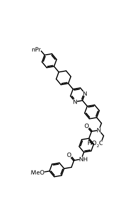 CCCc1ccc(C2CC=C(c3cnc(-c4ccc(CN(CC(=O)O)C(=O)c5ccc(NC(=O)Cc6ccc(OC)cc6)cc5)cc4)nc3)CC2)cc1